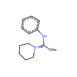 COC(Nc1ccccc1)=[N+]1CCCCC1